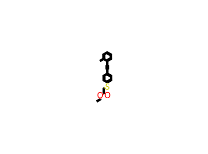 CCOC(=O)CSc1ccc(C#Cc2ccccc2C)cc1